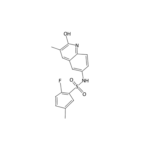 Cc1ccc(F)c(S(=O)(=O)Nc2ccc3nc(O)c(C)cc3c2)c1